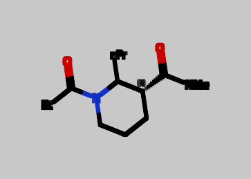 CCCC1[C@H](C(=O)NC)CCCN1C(=O)CC